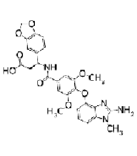 COc1cc(C(=O)N[C@@H](CC(=O)O)c2ccc3c(c2)OCO3)cc(OC)c1Oc1cccc2c1nc(N)n2C